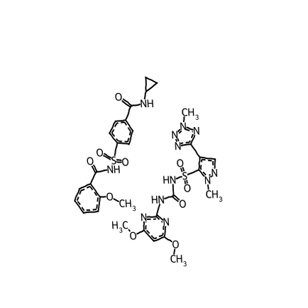 COc1cc(OC)nc(NC(=O)NS(=O)(=O)c2c(-c3nnn(C)n3)cnn2C)n1.COc1ccccc1C(=O)NS(=O)(=O)c1ccc(C(=O)NC2CC2)cc1